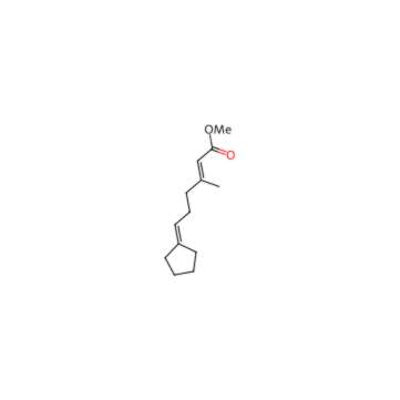 COC(=O)/C=C(\C)CCC=C1CCCC1